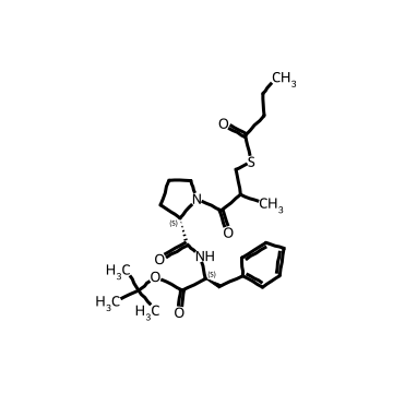 CCCC(=O)SCC(C)C(=O)N1CCC[C@H]1C(=O)N[C@@H](Cc1ccccc1)C(=O)OC(C)(C)C